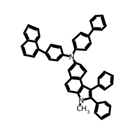 Cn1c(-c2ccccc2)c(-c2ccccc2)c2c3ccc(N(c4ccc(-c5ccccc5)cc4)c4ccc(-c5cccc6ccccc56)cc4)cc3ccc21